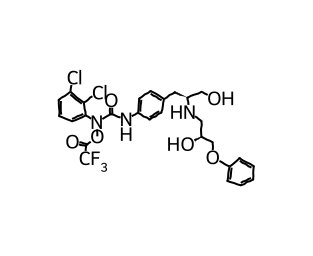 O=C(Nc1ccc(C[C@@H](CO)NC[C@H](O)COc2ccccc2)cc1)N(OC(=O)C(F)(F)F)c1cccc(Cl)c1Cl